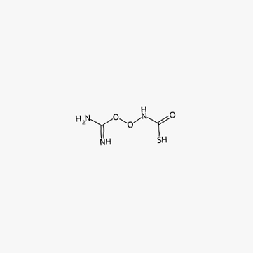 N=C(N)OONC(=O)S